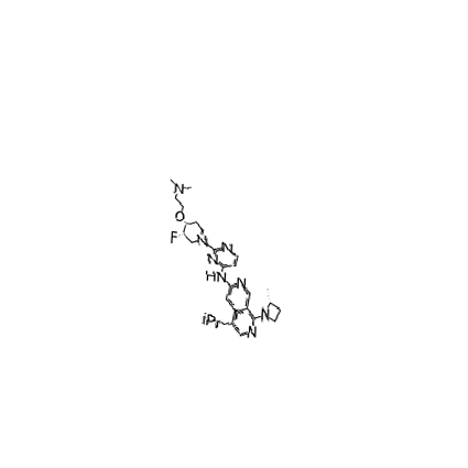 CC(C)c1cnc(N2CC[C@H]2C)c2cnc(Nc3ccnc(N4CC[C@@H](OCCN(C)C)[C@@H](F)C4)n3)cc12